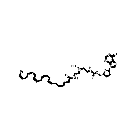 CC/C=C\C/C=C\C/C=C\C/C=C\C/C=C\C/C=C\CCC(=O)NCCN(C)CCNC(=O)OC[C@@H]1CCC(n2cnc3c(=O)nc[nH]c32)O1